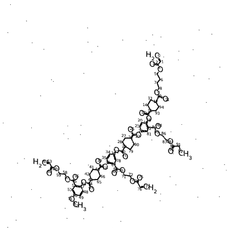 C=CC(=O)OCCCCOC(=O)C1CCC(C(=O)Oc2ccc(OC(=O)C3CCC(C(=O)Oc4ccc(OC(=O)C5CCC(C(=O)Oc6ccc(OC)cc6C(=O)OCCOC(=O)C=C)CC5)c(C(=O)OCCOC(=O)C=C)c4)CC3)cc2C(=O)OCCOC(=O)CC)CC1